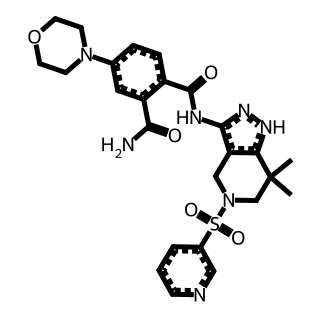 CC1(C)CN(S(=O)(=O)c2cccnc2)Cc2c(NC(=O)c3ccc(N4CCOCC4)cc3C(N)=O)n[nH]c21